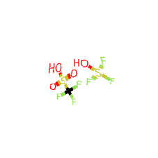 O=S(=O)(O)C(F)(F)F.OS(F)(F)F